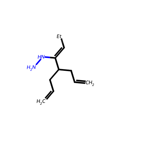 C=CCC(CC=C)C(=CCC)NN